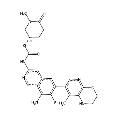 Cc1c(-c2cc3cc(NC(=O)O[C@H]4CCC(=O)N(C)C4)ncc3c(N)c2F)cnc2c1NCCO2